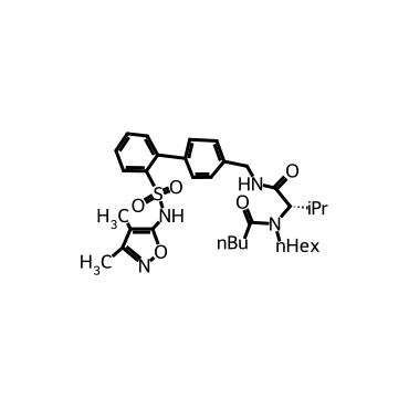 CCCCCCN(C(=O)CCCC)[C@H](C(=O)NCc1ccc(-c2ccccc2S(=O)(=O)Nc2onc(C)c2C)cc1)C(C)C